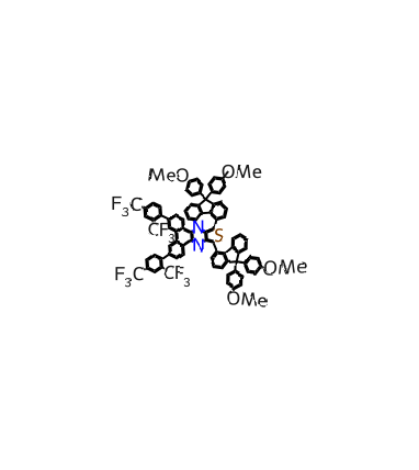 COc1ccc(C2(c3ccc(OC)cc3)c3ccccc3-c3c(-c4sc(-c5cccc6c5-c5ccccc5C6(c5ccc(OC)cc5)c5ccc(OC)cc5)c5nc6c7ccc(-c8ccc(C(F)(F)F)cc8C(F)(F)F)cc7c7cc(-c8ccc(C(F)(F)F)cc8C(F)(F)F)ccc7c6nc45)cccc32)cc1